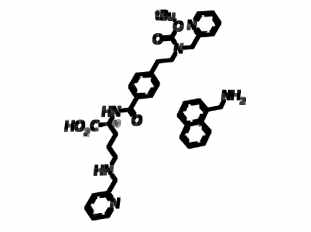 CC(C)(C)OC(=O)N(CCc1ccc(C(=O)N[C@@H](CCCNCc2ccccn2)C(=O)O)cc1)Cc1ccccn1.NCc1cccc2ccccc12